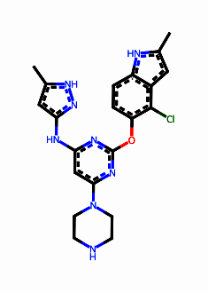 Cc1cc(Nc2cc(N3CCNCC3)nc(Oc3ccc4[nH]c(C)cc4c3Cl)n2)n[nH]1